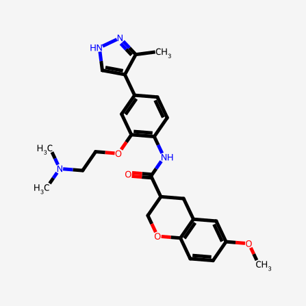 COc1ccc2c(c1)CC(C(=O)Nc1ccc(-c3c[nH]nc3C)cc1OCCN(C)C)CO2